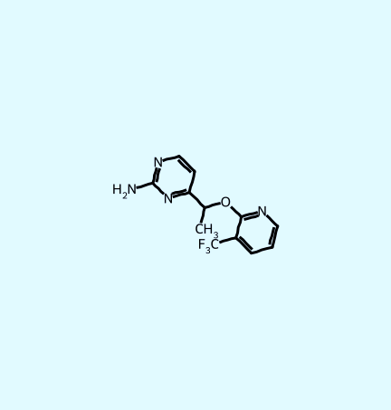 CC(Oc1ncccc1C(F)(F)F)c1ccnc(N)n1